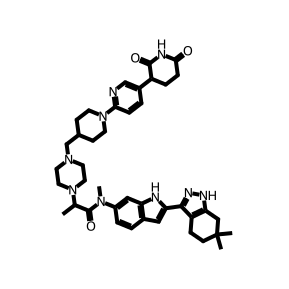 CC(C(=O)N(C)c1ccc2cc(-c3n[nH]c4c3CCC(C)(C)C4)[nH]c2c1)N1CCN(CC2CCN(c3ccc(C4CCC(=O)NC4=O)cn3)CC2)CC1